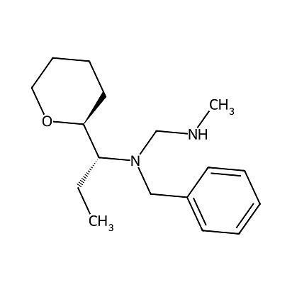 CC[C@H]([C@@H]1CCCCO1)N(CNC)Cc1ccccc1